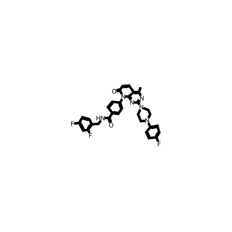 Cc1nc(N2CCN(c3ccc(F)cc3)CC2)nc2c1ccc(=O)n2-c1ccc(C(=O)NCc2ccc(F)cc2F)cc1